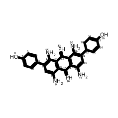 Nc1cc(-c2ccc(O)cc2)c(N)c2c1C(=P)c1c(N)cc(C3C=CC(O)=CC3)c(N)c1C2=P